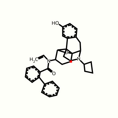 C=CN(C(=O)c1ccccc1-c1ccccc1)C1CCC23OCC1C21CCN(C2CCC2)C3Cc2ccc(O)cc21